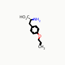 C=CCOc1ccc(C[C@@H](N)C(=O)O)cc1